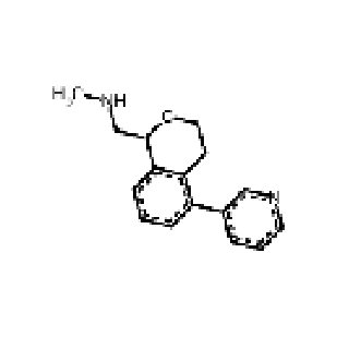 CNC[C@H]1OCCc2c(-c3cccnc3)cccc21